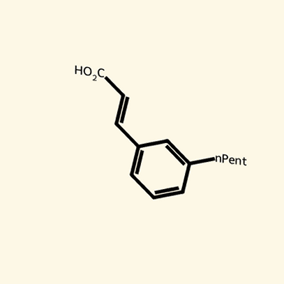 CCCCCc1cccc(C=CC(=O)O)c1